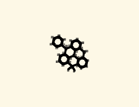 CC1(C)c2cccc3c2N2c4c(cccc4B(c4ccccc4)c4cccc1c42)O3